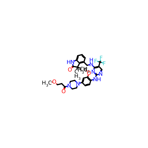 COCCC(=O)N1CCN(c2ccc(Nc3ncc(C(F)(F)F)c(NCc4cccc5c4C(C)(C)C(=O)N5)n3)c(OC)c2)CC1